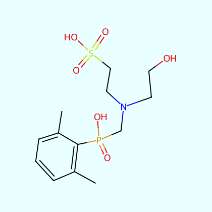 Cc1cccc(C)c1P(=O)(O)CN(CCO)CCS(=O)(=O)O